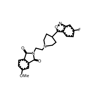 COc1ccc2c(c1)C(=O)N(CCN1CCC(c3onc4cc(F)ccc34)CC1)C2=O